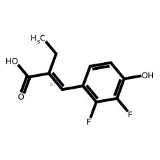 CC/C(=C\c1ccc(O)c(F)c1F)C(=O)O